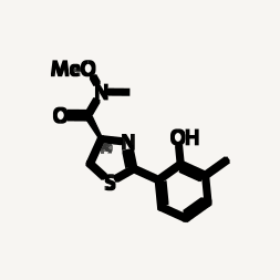 CON(C)C(=O)[C@@H]1CSC(c2cccc(C)c2O)=N1